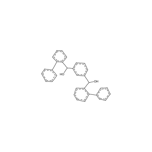 OC(c1cccc(C(O)c2ccccc2-c2ccccc2)c1)c1ccccc1-c1ccccc1